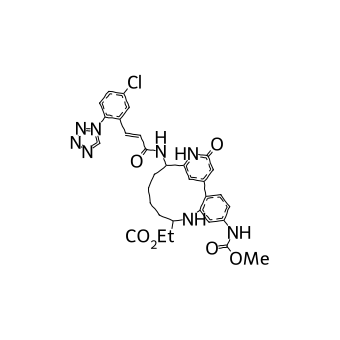 CCOC(=O)C1CCCCC(NC(=O)/C=C/c2cc(Cl)ccc2-n2cnnn2)c2cc(cc(=O)[nH]2)-c2ccc(NC(=O)OC)cc2N1